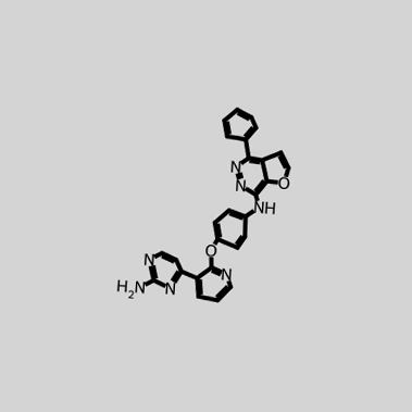 Nc1nccc(-c2cccnc2Oc2ccc(Nc3nnc(-c4ccccc4)c4ccoc34)cc2)n1